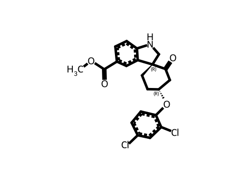 COC(=O)c1ccc2c(c1)[C@]1(CC[C@@H](Oc3ccc(Cl)cc3Cl)CC1=O)CN2